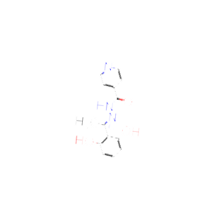 C/C(=N\NC(=O)c1ccncc1)c1c(O)cccc1O